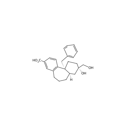 O=C(O)c1ccc2c(c1)CCC[C@@H]1C[C@](O)(CO)CC[C@]21Cc1ccccc1